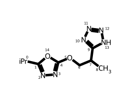 CC(C)c1nnc(OCC(C)c2nnn[nH]2)o1